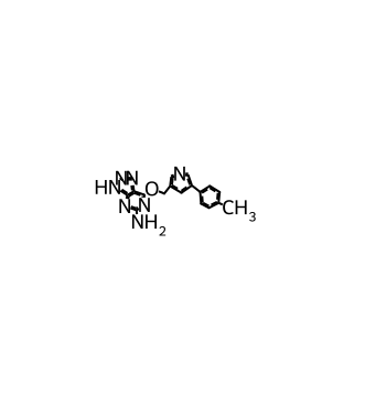 Cc1ccc(-c2cncc(COc3nc(N)nc4[nH]nnc34)c2)cc1